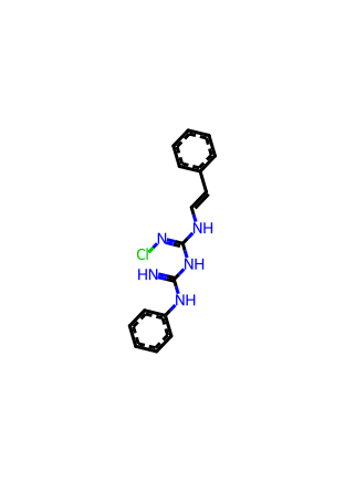 N=C(NC(=NCl)NC=Cc1ccccc1)Nc1ccccc1